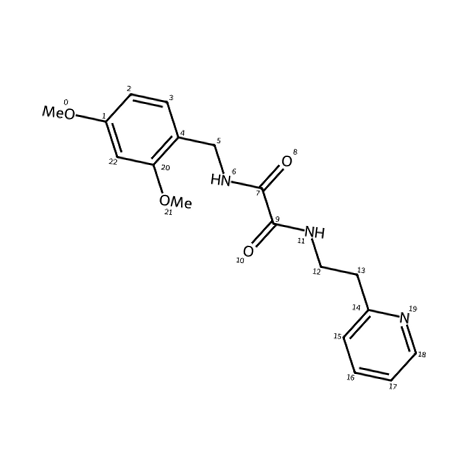 COc1ccc(CNC(=O)C(=O)NCCc2ccccn2)c(OC)c1